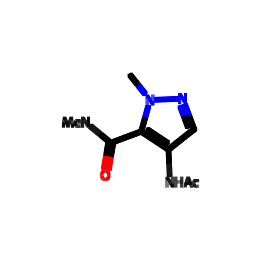 CNC(=O)c1c(NC(C)=O)cnn1C